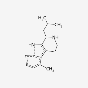 Cc1cccc2[nH]c3c(c12)CCNC3CC(C)C